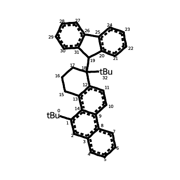 CC(C)(C)c1cc2ccccc2c2ccc3c(c12)CCCC3(C1c2ccccc2-c2ccccc21)C(C)(C)C